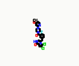 COc1ccnc(N2CCN(C(=O)c3cc(Cc4c[nH]c(=O)c5cc(Cl)c(Cl)n45)ccc3F)CC2)c1